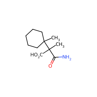 CC1(C(C)(C(N)=O)C(=O)O)CCCCC1